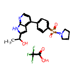 CC(O)c1cc2c(-c3ccc(S(=O)(=O)N4CCCC4)cc3)ccnc2[nH]1.O=C(O)C(F)(F)F